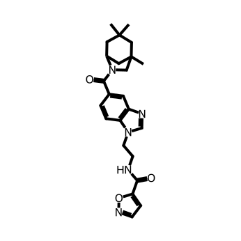 CC1(C)CC2CC(C)(CN2C(=O)c2ccc3c(c2)ncn3CCNC(=O)c2ccno2)C1